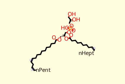 CCCCC/C=C\C/C=C\CCCCCCCCCC(=O)OC[C@H](COP(=O)(O)OC[C@@H](O)CO)OC(=O)CCCCCCC/C=C\CCCCCCC